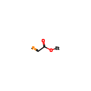 CCOC(=O)C=[P]